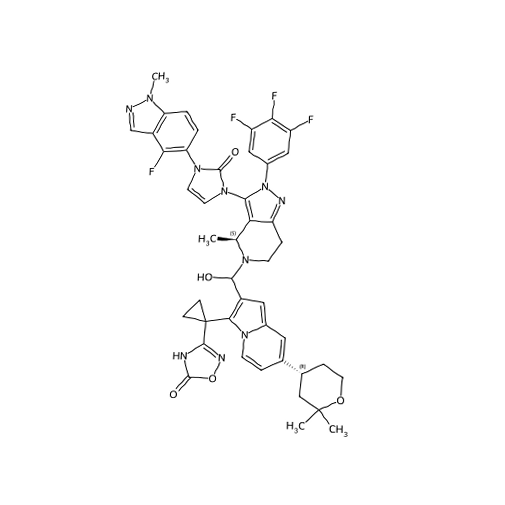 C[C@H]1c2c(nn(-c3cc(F)c(F)c(F)c3)c2-n2ccn(-c3ccc4c(cnn4C)c3F)c2=O)CCN1C(O)c1cc2cc([C@@H]3CCOC(C)(C)C3)ccn2c1C1(c2noc(=O)[nH]2)CC1